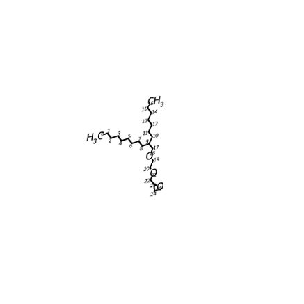 CCCCCCCCCC(CCCCCCC)COCCOCC1CO1